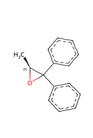 C[C@@H]1OC1(c1ccccc1)c1ccccc1